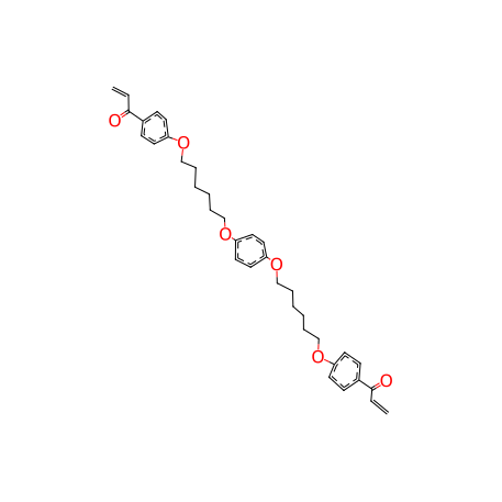 C=CC(=O)c1ccc(OCCCCCCOc2ccc(OCCCCCCOc3ccc(C(=O)C=C)cc3)cc2)cc1